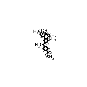 C=C(c1ccc(C(=O)OC)cc1)c1ccc2c(c1)C(/C=C\C(C)(C)O)=CCC2(C)C